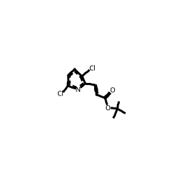 CC(C)(C)OC(=O)/C=C/c1nc(Cl)ccc1Cl